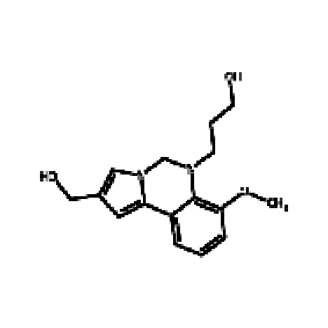 COc1cccc2c1N(CCCO)Cn1cc(CO)cc1-2